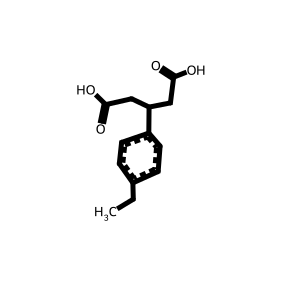 CCc1ccc(C(CC(=O)O)CC(=O)O)cc1